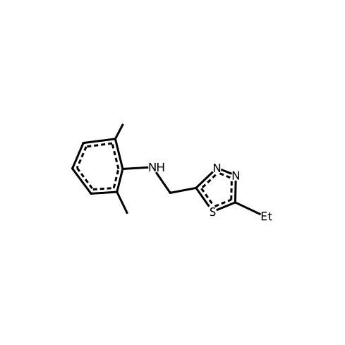 CCc1nnc(CNc2c(C)cccc2C)s1